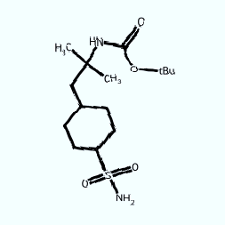 CC(C)(CC1CCC(S(N)(=O)=O)CC1)NC(=O)OC(C)(C)C